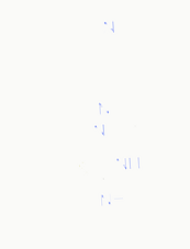 CC(c1ccncc1)n1ccc(NC(N)=S)n1